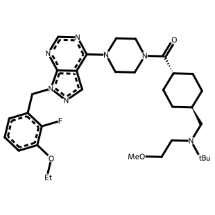 CCOc1cccc(Cn2ncc3c(N4CCN(C(=O)[C@H]5CC[C@H](CN(CCOC)C(C)(C)C)CC5)CC4)ncnc32)c1F